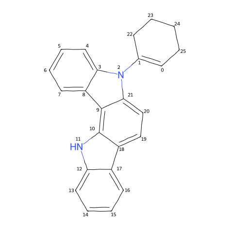 C1=C(n2c3ccccc3c3c4[nH]c5ccccc5c4ccc32)CCCC1